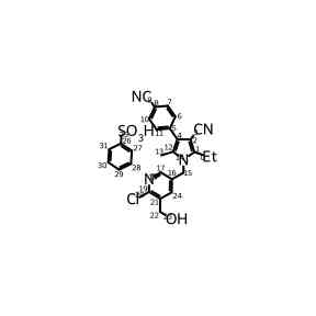 CCc1c(C#N)c(-c2ccc(C#N)cc2)c(C)n1Cc1cnc(Cl)c(CO)c1.O=S(=O)(O)c1ccccc1